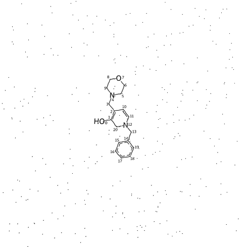 OC1=C(CN2CCOCC2)C=CN(Cc2ccccc2)C1